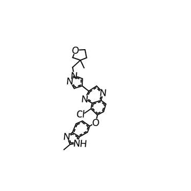 Cc1nc2ccc(Oc3ccc4ncc(-c5cnn(CC6(C)CCOC6)c5)nc4c3Cl)cc2[nH]1